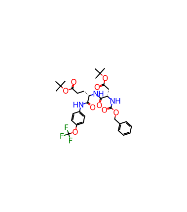 CC(C)(C)OC(=O)CC[C@H](NC(=O)[C@H](CC(=O)OC(C)(C)C)NC(=O)OCc1ccccc1)C(=O)Nc1ccc(OC(F)(F)F)cc1